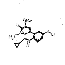 CCSc1ccc(NCC2CC2)c(-c2cc(OC)c(=O)n(C)c2)c1